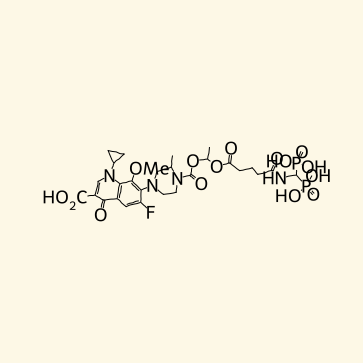 COc1c(N2CCN(C(=O)OC(C)OC(=O)CCCC(=O)NC(P(=O)(O)O)P(=O)(O)O)C(C)C2)c(F)cc2c(=O)c(C(=O)O)cn(C3CC3)c12